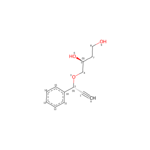 C#C[C@@H](OC[C@@H](O)CCO)c1ccccc1